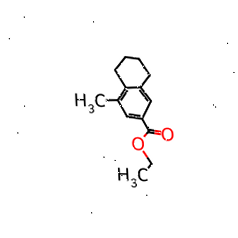 CCOC(=O)c1cc(C)c2c(c1)CCCC2